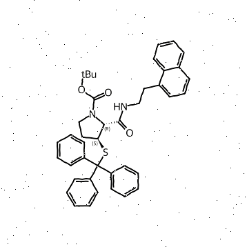 CC(C)(C)OC(=O)N1CC[C@H](SC(c2ccccc2)(c2ccccc2)c2ccccc2)[C@H]1C(=O)NCCc1cccc2ccccc12